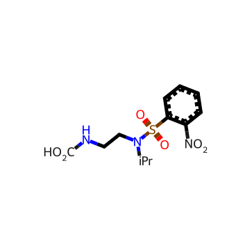 CC(C)N(CCNC(=O)O)S(=O)(=O)c1ccccc1[N+](=O)[O-]